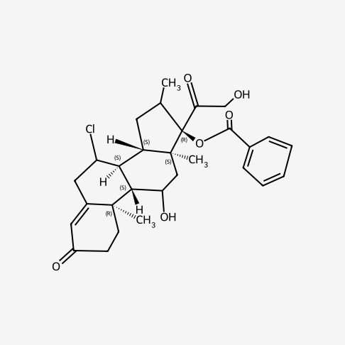 CC1C[C@H]2[C@@H]3C(Cl)CC4=CC(=O)CC[C@]4(C)[C@H]3C(O)C[C@]2(C)[C@@]1(OC(=O)c1ccccc1)C(=O)CO